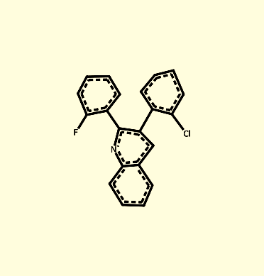 Fc1ccccc1-c1nc2ccccc2cc1-c1ccccc1Cl